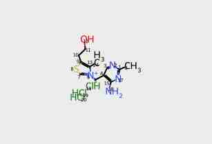 Cc1ncc(C[n+]2csc(CCO)c2C)c(N)n1.Cl.Cl.Cl